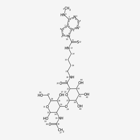 CNc1ncnc2c1ccn2C(=S)NCCCCNC(=O)C1OC(OC2C(O)C(CO)OC(O)C2NC(C)=O)C(O)C(O)C1O